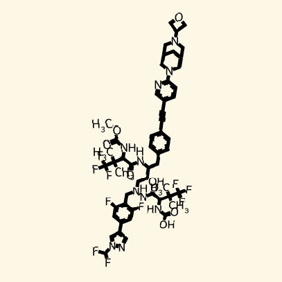 COC(=O)NC(C(=O)NC(Cc1ccc(C#Cc2ccc(N3CC4CC(C3)CN(C3COC3)C4)nc2)cc1)C(O)CN(Cc1c(F)cc(-c2cnn(C(F)F)c2)cc1F)NC(=O)C(NC(=O)O)C(C)(C)C(F)(F)F)C(C)(C)C(F)(F)F